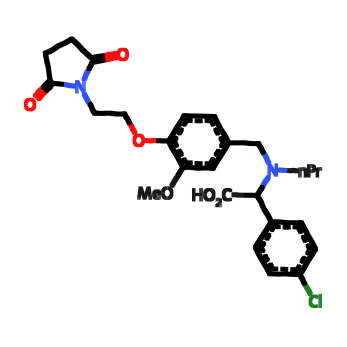 CCCN(Cc1ccc(OCCN2C(=O)CCC2=O)c(OC)c1)C(C(=O)O)c1ccc(Cl)cc1